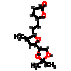 C=C1CC([C@H]2COC(C)(C)O2)O[C@H]1CC[C@@H]1CCC(=O)O1